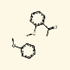 COc1ccccc1.COc1ccccc1C(C)=O